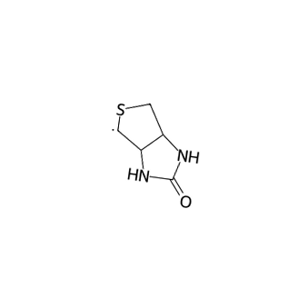 O=C1NC2[CH]SCC2N1